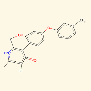 Cc1[nH]c(CO)c(-c2ccc(Oc3cccc(C(F)(F)F)c3)cc2)c(=O)c1Cl